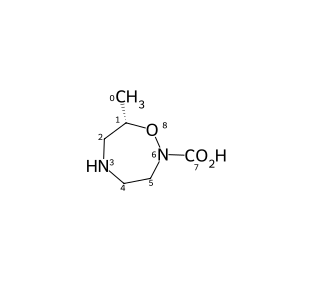 C[C@H]1CNCCN(C(=O)O)O1